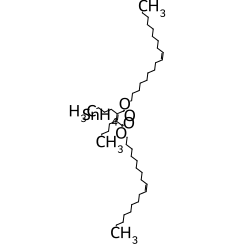 CCCCCCCC/C=C\CCCCCCCCOC(=O)/C(CCCC)=C(/CCCC)C(=O)OCCCCCCCC/C=C\CCCCCCCC.[SnH4]